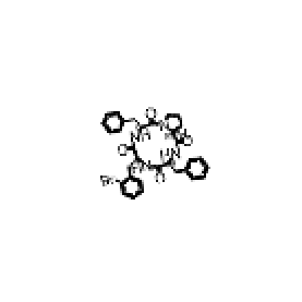 O=C1N[C@H](Cc2ccccc2Br)C(=O)N[C@@H](Cc2ccccc2)C(=O)N2CCC[C@@H]2C(=O)N[C@H]1Cc1ccccc1